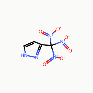 O=[N+]([O-])C(c1cc[nH]n1)([N+](=O)[O-])[N+](=O)[O-]